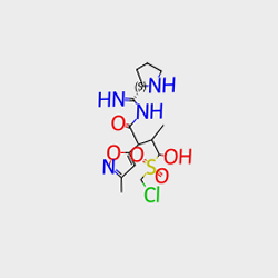 Cc1cc(C(C(=O)NC(=N)[C@@H]2CCCN2)C(C)C(O)S(=O)(=O)CCl)on1